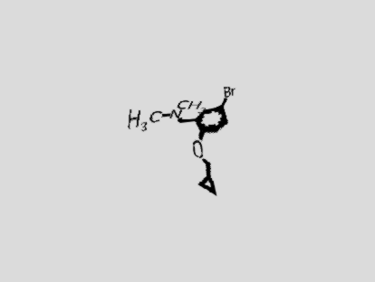 CN(C)Cc1cc(Br)ccc1OCC1CC1